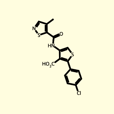 Cc1cnsc1C(=O)Nc1csc(-c2ccc(Cl)cc2)c1C(=O)O